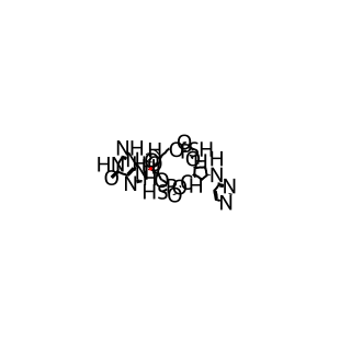 Nc1nc2c(ncn2[C@@H]2O[C@@H]3COP(=O)(S)O[C@H]4C[C@H](Nc5ccncn5)C[C@@H]4COP(=O)(S)O[C@@H]2[C@@H]3O)c(=O)[nH]1